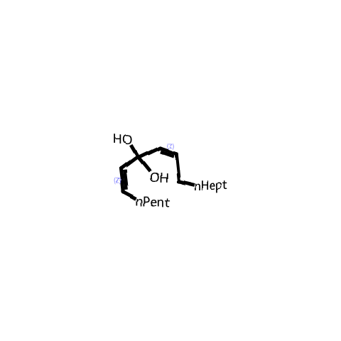 CCCCC/C=C\C(O)(O)/C=C\CCCCCCCC